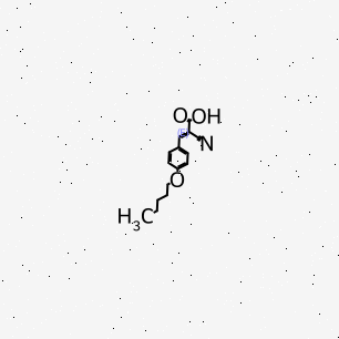 CCCCCOc1ccc(/C=C(\C#N)C(=O)O)cc1